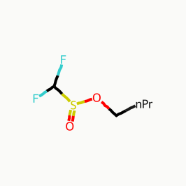 CCCCOS(=O)C(F)F